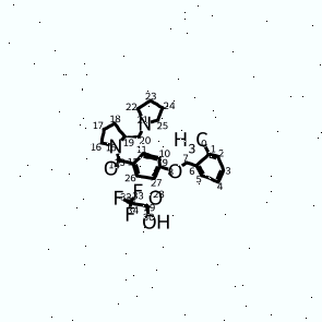 Cc1ccccc1COc1ccc(C(=O)N2CCC[C@H]2CN2CCCC2)cc1.O=C(O)C(F)(F)F